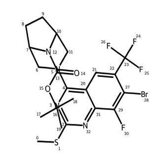 CSc1nc(N2CC3CCC(C2)N3C(=O)OC(C)(C)C)c2cc(C(F)(F)F)c(Br)c(F)c2n1